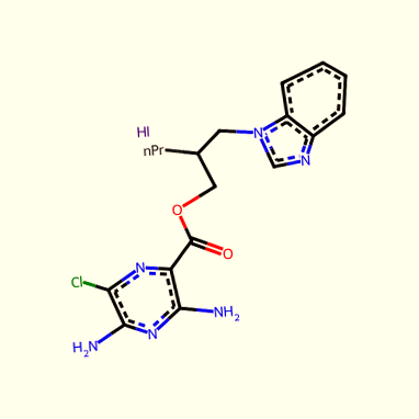 CCCC(COC(=O)c1nc(Cl)c(N)nc1N)Cn1cnc2ccccc21.I